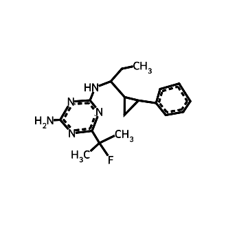 CCC(Nc1nc(N)nc(C(C)(C)F)n1)C1CC1c1ccccc1